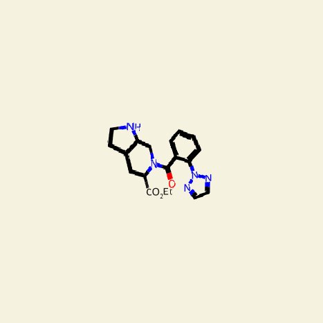 CCOC(=O)C1CC2CCNC2CN1C(=O)c1ccccc1-n1nccn1